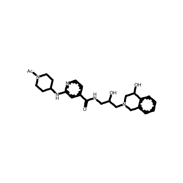 CC(=O)N1CCC(Nc2cc(C(=O)NCC(O)CN3Cc4ccccc4C(O)C3)ccn2)CC1